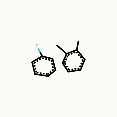 Cc1ccccc1C.Fc1ccccc1